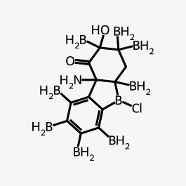 Bc1c(B)c(B)c2c(c1B)B(Cl)C1(B)CC(B)(B)C(B)(O)C(=O)C21N